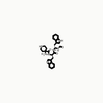 NC1(C(=O)N[C@H](Cc2csc3ccccc23)C(=O)N[C@H](Cc2c[nH]c3ccccc23)NC=O)CCNCC1